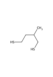 CC(CS)CCS